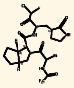 CCC(NC(=O)C(F)(F)F)C(=O)N1C[C@@H]2CCC[C@@H]2[C@H]1C(=O)NN(C[C@@H]1CCNC1=O)C(=O)C(F)Cl